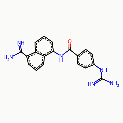 N=C(N)Nc1ccc(C(=O)Nc2cccc3c(C(=N)N)cccc23)cc1